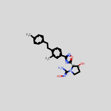 N/C(=N\O)N1CC[C@H](O)[C@H]1c1nc(-c2ccc(CCc3ccc(C(F)(F)F)cc3)c(C(F)(F)F)c2)no1